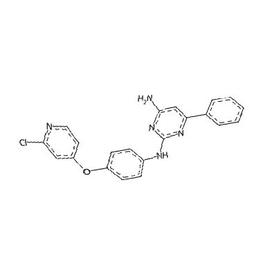 Nc1cc(-c2ccccc2)nc(Nc2ccc(Oc3ccnc(Cl)c3)cc2)n1